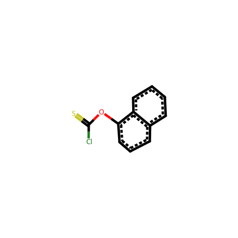 S=C(Cl)Oc1cccc2ccccc12